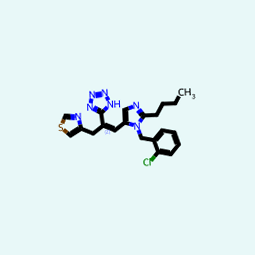 CCCCc1ncc(/C=C(/Cc2cscn2)c2nnn[nH]2)n1Cc1ccccc1Cl